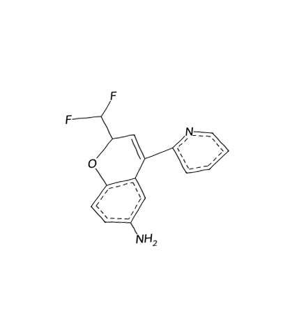 Nc1ccc2c(c1)C(c1ccccn1)=CC(C(F)F)O2